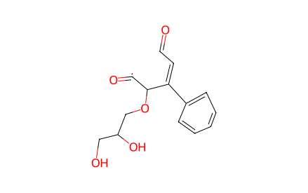 O=[C]C(OCC(O)CO)C(=CC=O)c1ccccc1